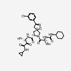 CCC[C@H](NC(=O)[C@@H]1C[C@]2(CC(c3cccc(Cl)c3)=NO2)CN1C(=O)[C@@H](NC(=O)NC1CCCCC1)C(C)(C)C)C(=O)C(=O)NC1CC1